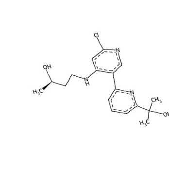 C[C@@H](O)CCNc1cc(Cl)ncc1-c1cccc(C(C)(C)O)n1